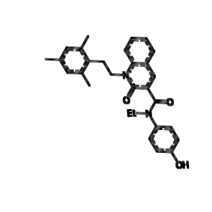 CCN(C(=O)c1cc2ccccc2n(CCc2c(C)cc(C)cc2C)c1=O)c1ccc(O)cc1